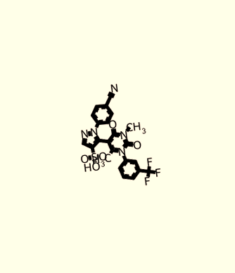 Cc1c(-c2c(S(=O)(=O)O)cnn2-c2ccc(C#N)cc2)c(=O)n(C)c(=O)n1-c1cccc(C(F)(F)F)c1